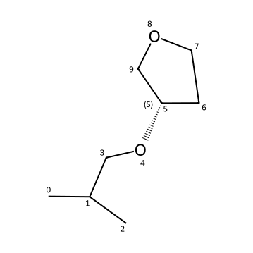 CC(C)CO[C@H]1CCOC1